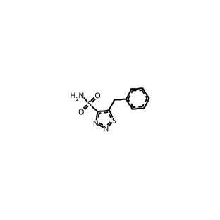 NS(=O)(=O)c1nnsc1Cc1ccccc1